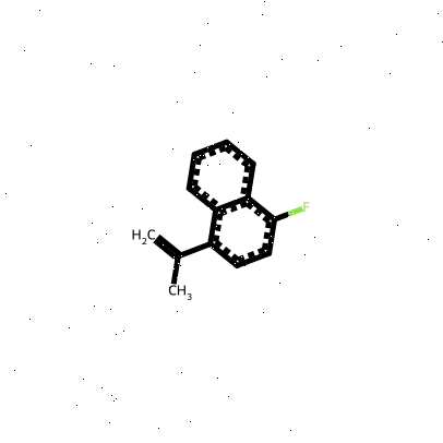 C=C(C)c1ccc(F)c2ccccc12